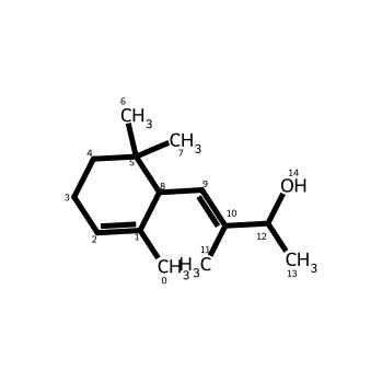 CC1=CCCC(C)(C)C1/C=C(\C)C(C)O